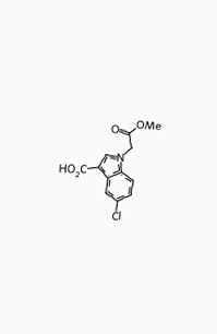 COC(=O)Cn1cc(C(=O)O)c2cc(Cl)ccc21